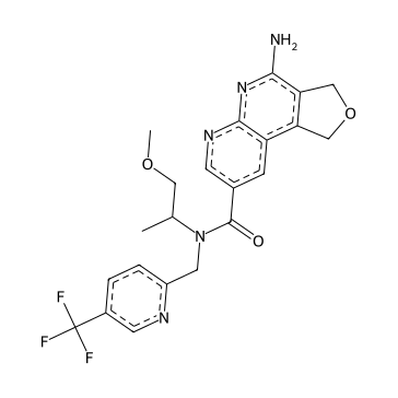 COCC(C)N(Cc1ccc(C(F)(F)F)cn1)C(=O)c1cnc2nc(N)c3c(c2c1)COC3